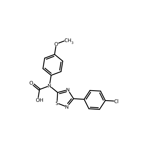 COc1ccc(N(C(=O)O)c2nc(-c3ccc(Cl)cc3)ns2)cc1